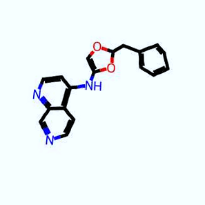 C1=C(Nc2ccnc3cnccc23)OC(Cc2ccccc2)O1